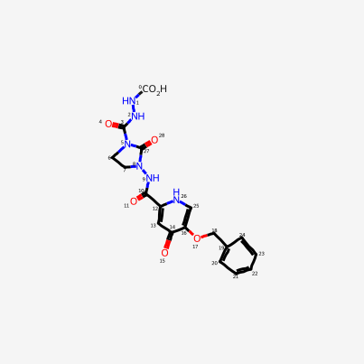 O=C(O)NNC(=O)N1CCN(NC(=O)c2cc(=O)c(OCc3ccccc3)c[nH]2)C1=O